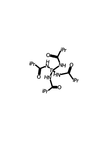 CC(C)C(=O)[NH][Ti]([NH]C(=O)C(C)C)([NH]C(=O)C(C)C)[NH]C(=O)C(C)C